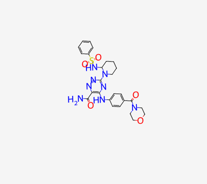 NC(=O)c1nnc(N2CCCCC2NS(=O)(=O)c2ccccc2)nc1Nc1ccc(C(=O)N2CCOCC2)cc1